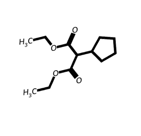 CCOC(=O)C(C(=O)OCC)C1CCCC1